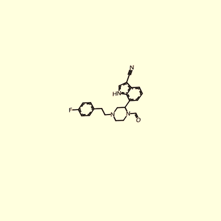 N#Cc1c[nH]c2c(C3CN(CCc4ccc(F)cc4)CCN3C=O)cccc12